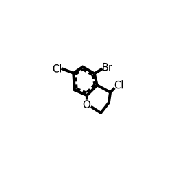 Clc1cc(Br)c2c(c1)OCCC2Cl